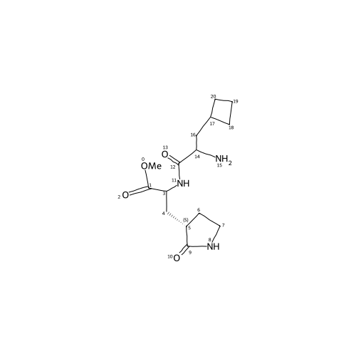 COC(=O)C(C[C@@H]1CCNC1=O)NC(=O)C(N)CC1CCC1